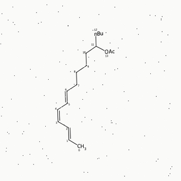 CC=C/C=C\C=C\CCCCC(CCCC)OC(C)=O